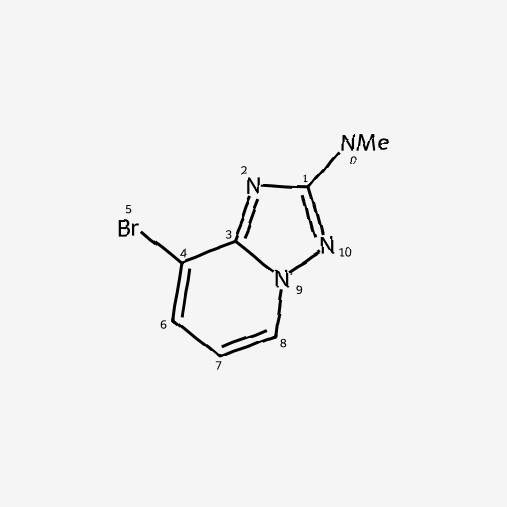 CNc1nc2c(Br)cccn2n1